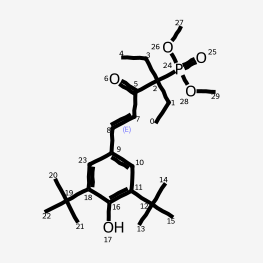 CCC(CC)(C(=O)/C=C/c1cc(C(C)(C)C)c(O)c(C(C)(C)C)c1)P(=O)(OC)OC